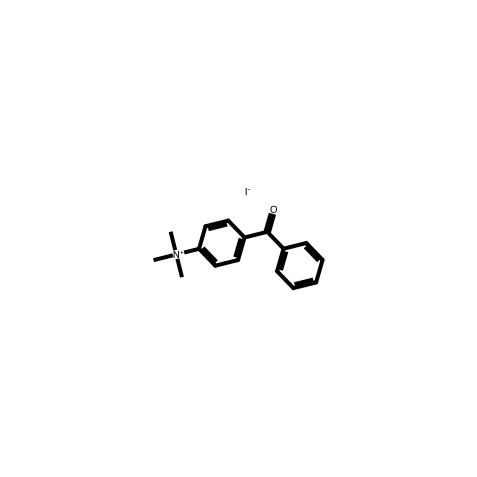 C[N+](C)(C)c1ccc(C(=O)c2ccccc2)cc1.[I-]